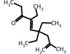 C=C(C)CC(/C=C(\CC)C(=O)CC)(CC)CC